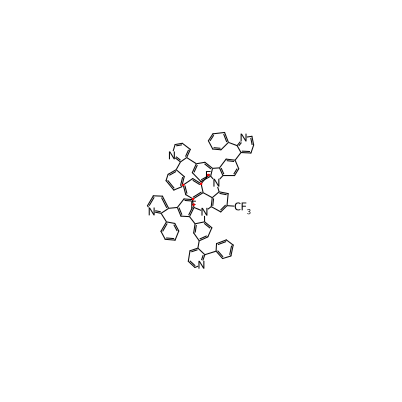 Fc1cccc(F)c1-c1c(-n2c3ccc(-c4cccnc4-c4ccccc4)cc3c3cc(-c4cccnc4-c4ccccc4)ccc32)cc(C(F)(F)F)cc1-n1c2ccc(-c3cccnc3-c3ccccc3)cc2c2cc(-c3cccnc3-c3ccccc3)ccc21